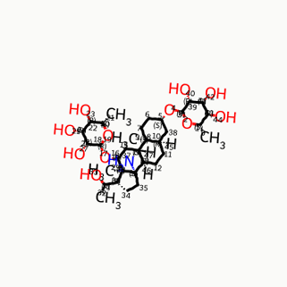 C[C@@H]1O[C@@H](O[C@H]2CC[C@@]3(C)[C@H](CC[C@@H]4[C@@H]3C[C@@H](O[C@@H]3O[C@@H](C)[C@H](O)[C@@H](O)[C@H]3O)[C@]3(C)[C@@H]([C@@H](C)O)CC[C@]43N)C2)[C@H](O)[C@H](O)[C@H]1O